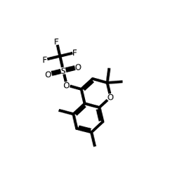 Cc1cc(C)c2c(c1)OC(C)(C)C=C2OS(=O)(=O)C(F)(F)F